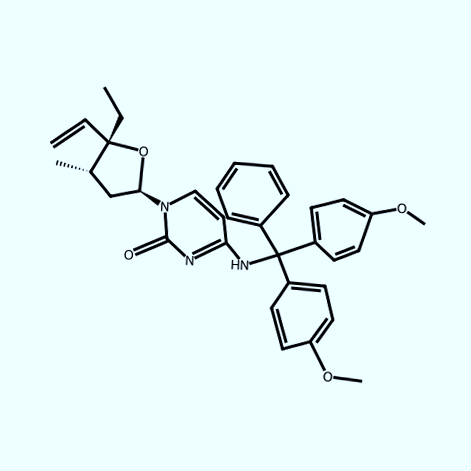 C=C[C@]1(CC)O[C@@H](n2ccc(NC(c3ccccc3)(c3ccc(OC)cc3)c3ccc(OC)cc3)nc2=O)C[C@@H]1C